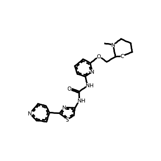 CN1CCCCC1COc1cccc(NC(=O)Nc2csc(-c3ccncc3)n2)n1